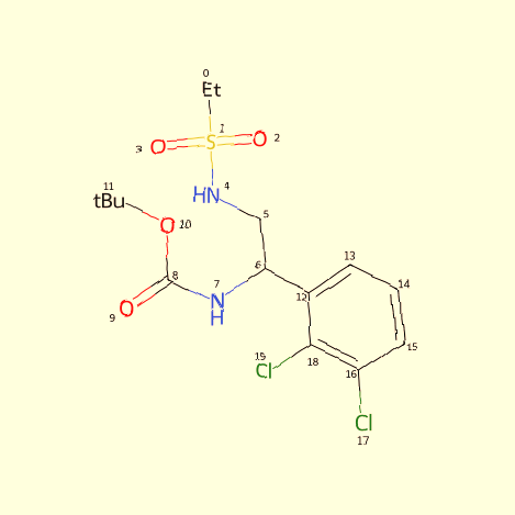 CCS(=O)(=O)NCC(NC(=O)OC(C)(C)C)c1cccc(Cl)c1Cl